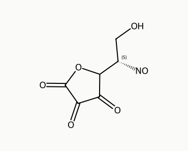 O=N[C@@H](CO)C1OC(=O)C(=O)C1=O